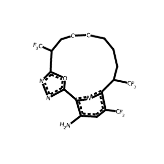 Nc1cc(C(F)(F)F)c2nc1-c1nnc(o1)C(C(F)(F)F)CCCCCCC2C(F)(F)F